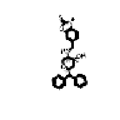 Cn1c(=S)oc2cc(CN[C@@H]3CO[C@H](C(c4ccccc4)c4ccccc4)C[C@@H]3O)ccc21